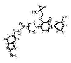 CC1(COc2c(N3CCN([S+]([O-])NCc4ccc5nc(N)sc5c4)CC3)cnn(-c3cc(F)cc(F)c3)c2=O)CC1